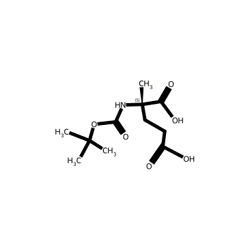 CC(C)(C)OC(=O)N[C@@](C)(CCC(=O)O)C(=O)O